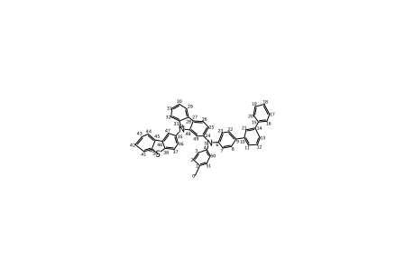 Cc1ccc(N(c2ccc(-c3cccc(-c4ccccc4)c3)cc2)c2ccc3c4ccccc4n(-c4ccc5sc6ccccc6c5c4)c3c2)cc1